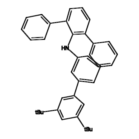 CC(C)(C)c1cc(-c2cccc(Nc3c(-c4ccccc4)cccc3-c3ccccc3)c2)cc(C(C)(C)C)c1